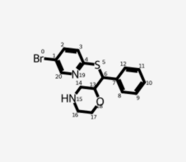 Brc1ccc(SC(c2ccccc2)C2CNCCO2)nc1